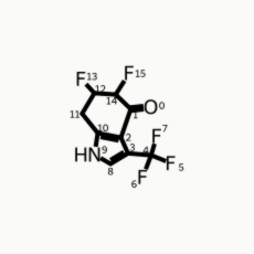 O=C1c2c(C(F)(F)F)c[nH]c2CC(F)C1F